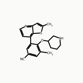 Cc1cc2nccc(-c3cc(C#N)cc(C)c3OC3CCCNC3)c2s1